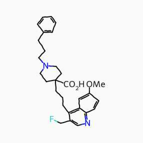 COc1ccc2ncc(CF)c(CCCC3(C(=O)O)CCN(CCCc4ccccc4)CC3)c2c1